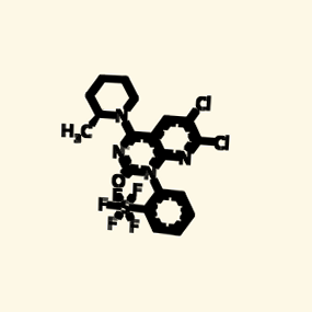 C[C@H]1CCCCN1c1nc(=O)n(-c2ccccc2S(F)(F)(F)(F)F)c2nc(Cl)c(Cl)cc12